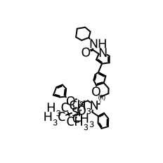 CC(C)(C)[Si](C)(C)O[C@H](COc1ccccc1)CN(Cc1ccccc1)C[C@H]1CCc2cc(-c3ccnc(C(=O)NC4CCCCC4)c3)ccc2O1